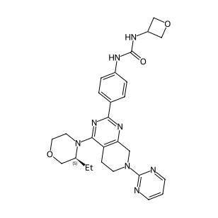 CC[C@H]1COCCN1c1nc(-c2ccc(NC(=O)NC3COC3)cc2)nc2c1CCN(c1ncccn1)C2